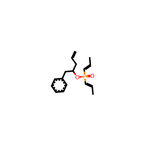 C=CCC(Cc1ccccc1)OP(=O)(/C=C/C)/C=C/C